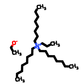 CCCCCCCC[N+](CCC)(CCCCCCCC)CCCCCCCC.CC[O-]